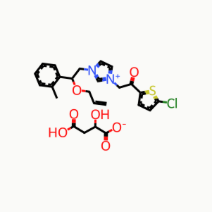 C=CCOC(Cn1cc[n+](CC(=O)c2ccc(Cl)s2)c1)c1ccccc1C.O=C(O)CC(O)C(=O)[O-]